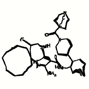 Nc1nn2c(c1C(=O)Nc1cnccc1C1CCN(C(=O)C34CCN(CC3)CC4)CC1)NCC(F)C21CCCCCCCCCC1